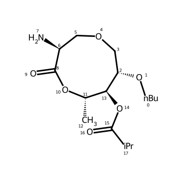 CCCCO[C@H]1COC[C@H](N)C(=O)O[C@@H](C)[C@@H]1OC(=O)C(C)C